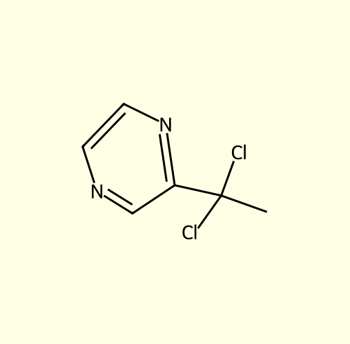 CC(Cl)(Cl)c1cnccn1